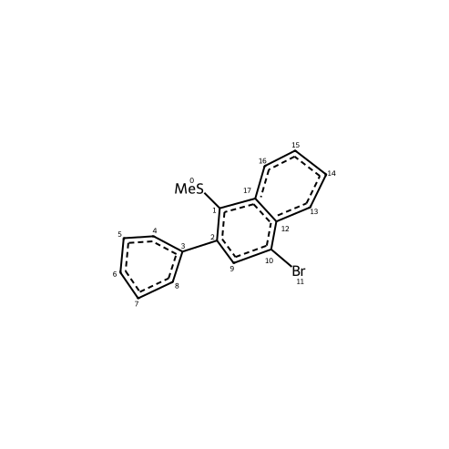 CSc1c(-c2ccccc2)cc(Br)c2ccccc12